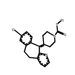 CCSC(=O)N1CCC(=C2c3ccc(Cl)cc3CCc3cccnc32)CC1